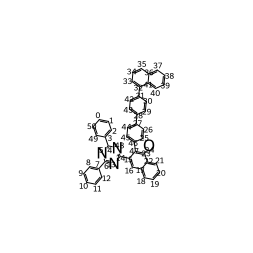 c1ccc(-c2nc(-c3ccccc3)nc(-c3cc4ccccc4c4oc5cc(-c6ccc(-c7cccc8ccccc78)cc6)ccc5c34)n2)cc1